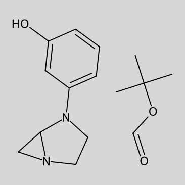 CC(C)(C)OC=O.Oc1cccc(N2CCN3CC32)c1